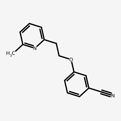 Cc1cccc(CCOc2cccc(C#N)c2)n1